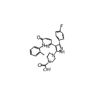 Cc1ccccc1-n1nc(-c2c(-c3ccc(F)cc3)n[nH]c2N2CCN(C(=O)O)CC2)ccc1=O